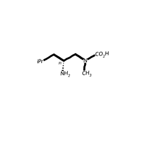 CC(C)C[C@@H](N)CN(C)C(=O)O